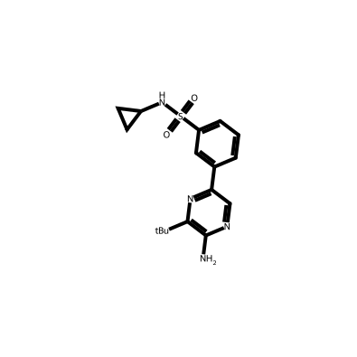 CC(C)(C)c1nc(-c2cccc(S(=O)(=O)NC3CC3)c2)cnc1N